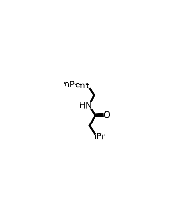 CCCCCCNC(=O)CC(C)C